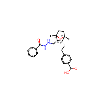 O=C(O)c1ccc(CC[C@@H]2[C@@H](CNNC(=O)c3ccccc3)[C@@H]3CC[C@H]2O3)cc1